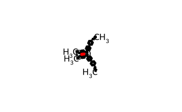 CCCC[C@H]1CC[C@H](c2ccc(C(OC(c3ccc(OCC)cc3)c3ccc([C@H]4CC[C@H](CCCC)CC4)cc3)c3ccc(OCC)cc3)cc2)CC1